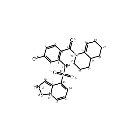 O=C(c1ccc(Cl)cc1NS(=O)(=O)C1=CC=CN2SNC=C12)N1CCCC2CCCC=C21